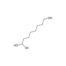 OCCCCCCCC(O)S